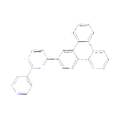 c1ccc2c(c1)c1ccccc1c1cc(-c3ccnc(-c4ccncc4)n3)ccc21